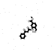 COC(=O)c1ccc(CO)c(NC(=O)CC(=O)c2ccccc2)c1